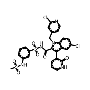 CS(=O)(=O)Nc1cccc(S(=O)(=O)NC(=O)c2c(-c3ccc[nH]c3=O)c3cc(Cl)ccc3n2Cc2ccnc(Cl)c2)c1